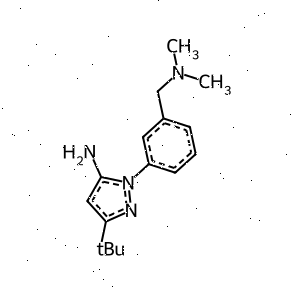 CN(C)Cc1cccc(-n2nc(C(C)(C)C)cc2N)c1